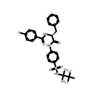 CC(C)(NS(=O)(=O)c1ccc(NC(=O)[C@H](Cc2ccccc2)NC(=O)c2ccc(F)cc2)cc1)C(F)(F)F